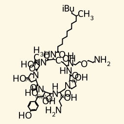 CCC(C)CC(C)CCCCCCCCC(=O)NC1CC(O)C(NCCOCCN)NC(=O)C2[C@@H](O)CCN2C(=O)C([C@H](O)CCN)NC(=O)C([C@H](O)[C@@H](O)c2ccc(O)cc2)NC(=O)C2C[C@@H](O)CN2C(=O)C([C@@H](C)O)NC1=O